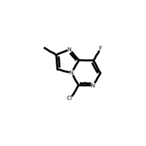 Cc1cn2c(Cl)ncc(F)c2n1